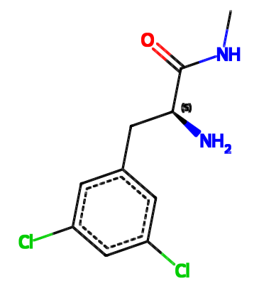 CNC(=O)[C@@H](N)Cc1cc(Cl)cc(Cl)c1